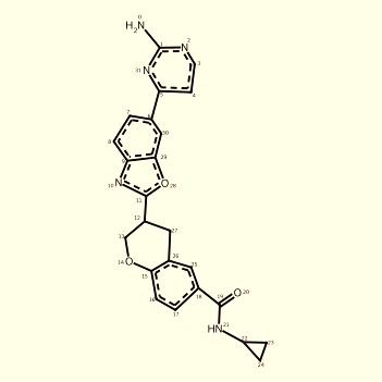 Nc1nccc(-c2ccc3nc(C4COc5ccc(C(=O)NC6CC6)cc5C4)oc3c2)n1